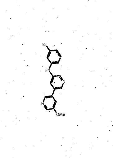 COc1cncc(-c2cncc(Nc3cccc(Br)c3)c2)c1